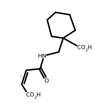 O=C(O)/C=C\C(=O)NCC1(C(=O)O)CCCCC1